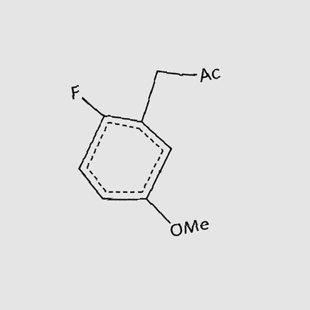 COc1ccc(F)c(CC(C)=O)c1